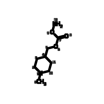 CN1CCC(COC(=O)ON)CC1